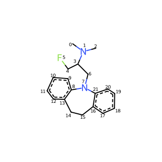 CN(C)C(CF)CN1c2ccccc2CCc2ccccc21